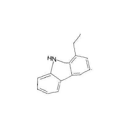 CCc1c[c]cc2c1[nH]c1ccccc12